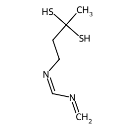 C=N/C=N\CCC(C)(S)S